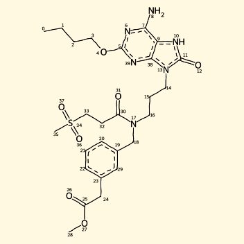 CCCCOc1nc(N)c2[nH]c(=O)n(CCCN(Cc3cccc(CC(=O)OC)c3)C(=O)CCS(C)(=O)=O)c2n1